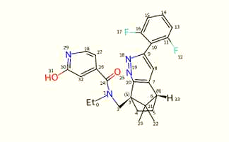 CCN(C[C@@]12CC[C@@H](c3cc(-c4c(F)cccc4F)nnc31)C2(C)C)C(=O)c1ccnc(O)c1